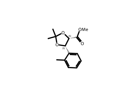 COC(=O)[C@H]1OC(C)(C)O[C@H]1c1ccccc1C